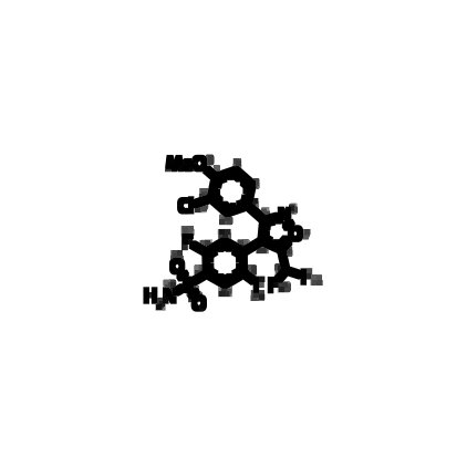 COc1ccc(-c2noc(C(F)F)c2-c2cc(F)c(S(N)(=O)=O)cc2F)cc1Cl